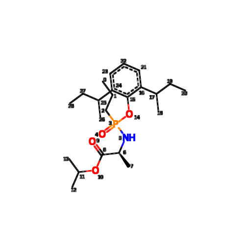 CCCP(=O)(N[C@@H](C)C(=O)OC(C)C)Oc1c(C(C)CC)cccc1C(C)CC